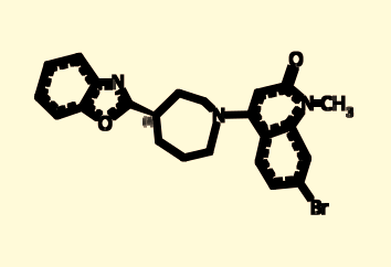 Cn1c(=O)cc(N2CCC[C@@H](c3nc4ccccc4o3)CC2)c2ccc(Br)cc21